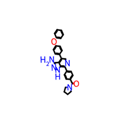 Nc1n[nH]c2c(-c3ccc(C(=O)N4CCCC4)cc3)ncc(-c3ccc(Oc4ccccc4)cc3)c12